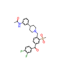 CC(=O)Nc1cccc(C2CCN(Cc3ccc(C(=O)c4ccc(F)c(F)c4)cc3S(C)(=O)=O)CC2)c1